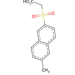 Cc1ccc2cc(S(=O)(=O)CC(=O)O)ccc2c1